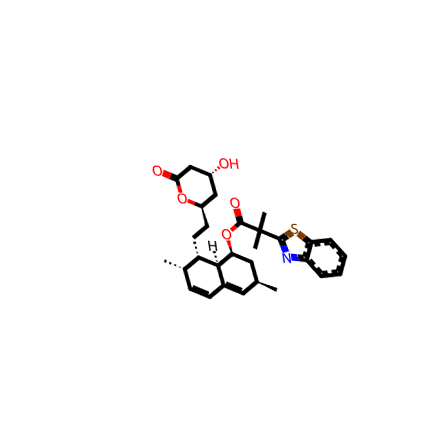 C[C@H]1C=C2C=C[C@H](C)[C@H](CC[C@@H]3C[C@@H](O)CC(=O)O3)[C@H]2[C@@H](OC(=O)C(C)(C)c2nc3ccccc3s2)C1